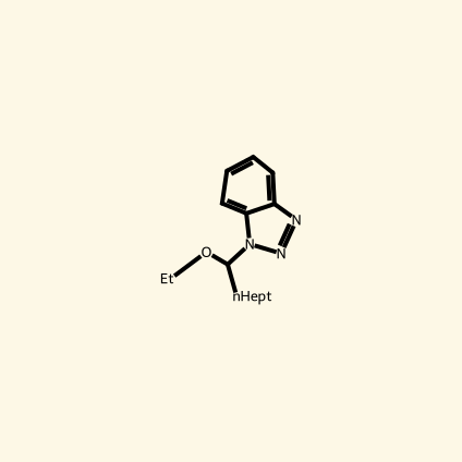 CCCCCCCC(OCC)n1nnc2ccccc21